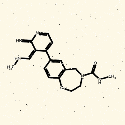 CN/C=C1\C(=N)N=CC=C1c1ccc2c(c1)CN(C(=O)NC)CCO2